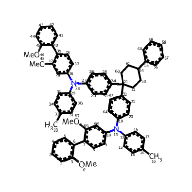 COc1ccccc1-c1ccc(N(c2ccc(C)cc2)c2ccc(C3(c4ccc(N(c5ccc(C)cc5)c5ccc(-c6ccccc6OC)c(OC)c5)cc4)CCC(c4ccccc4)CC3)cc2)cc1OC